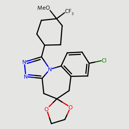 COC1(C(F)(F)F)CCC(c2nnc3n2-c2ccc(Cl)cc2CC2(C3)OCCO2)CC1